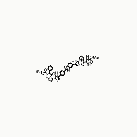 COC(=O)N[C@H](C(=O)N1CCC[C@H]1c1ncc(-c2ccc3oc(-c4ccc(-c5cnc([C@@H]6CCCN6C(=O)[C@H](NC(=O)OC(C)(C)C)c6ccccc6)[nH]5)cc4)nc3c2)[nH]1)C(C)C